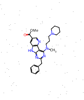 COC(=O)c1cnc2c(c1)[nH]c1nc(Cc3ccccc3)nc(N(C)CCCN3CCCCC3)c12